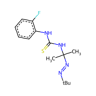 CC(C)(C)N=NC(C)(C)NC(=S)Nc1ccccc1F